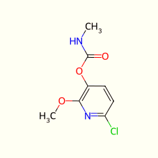 CNC(=O)Oc1ccc(Cl)nc1OC